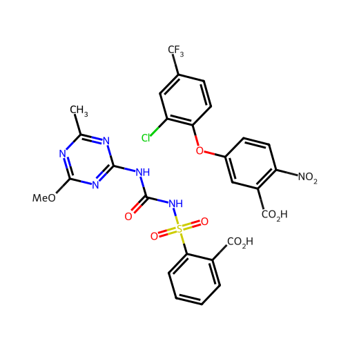 COc1nc(C)nc(NC(=O)NS(=O)(=O)c2ccccc2C(=O)O)n1.O=C(O)c1cc(Oc2ccc(C(F)(F)F)cc2Cl)ccc1[N+](=O)[O-]